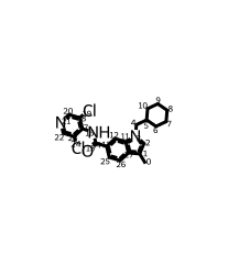 Cc1cn(CC2CCCCC2)c2cc(C(=O)Nc3c(Cl)cncc3Cl)ccc12